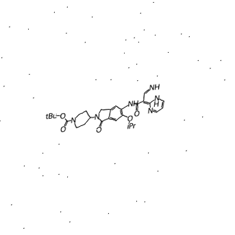 CC(C)Oc1cc2c(cc1NC(=O)/C(C=N)=C1\N=CC=CN1)CN(C1CCN(C(=O)OC(C)(C)C)CC1)C2=O